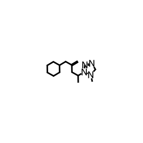 C=C(CC1CCCCC1)CC(C)N1N=NCN1C